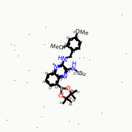 COc1ccc(CNc2nc3cccc(B4OC(C)(C)C(C)(C)O4)c3nc2NC(C)(C)C)c(OC)c1